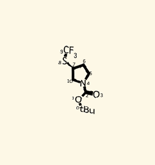 CC(C)(C)OC(=O)N1CC[C@H](SC(F)(F)F)C1